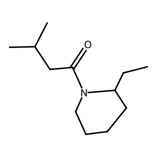 CCC1CCCCN1C(=O)CC(C)C